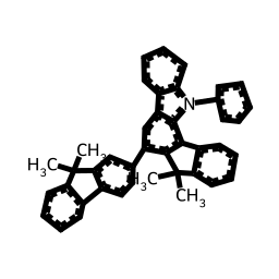 CC1(C)c2ccccc2-c2ccc(-c3cc4c5ccccc5n(-c5ccccc5)c4c4c3C(C)(C)c3ccccc3-4)cc21